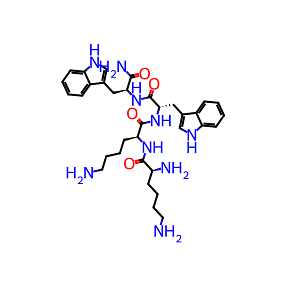 NCCCC[C@H](NC(=O)[C@@H](N)CCCCN)C(=O)N[C@@H](Cc1c[nH]c2ccccc12)C(=O)N[C@@H](Cc1c[nH]c2ccccc12)C(N)=O